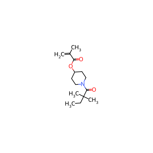 C=C(C)C(=O)OC1CCN(C(=O)C(C)(C)CC)CC1